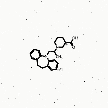 CC(CN1c2ccccc2CCc2ccccc21)N1CCC[C@@H](C(=O)O)C1.Cl